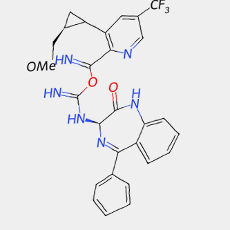 COC[C@H]1CC1c1cc(C(F)(F)F)cnc1C(=N)OC(=N)N[C@@H]1N=C(c2ccccc2)c2ccccc2NC1=O